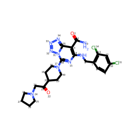 NC(=O)c1c(NCc2ccc(Cl)cc2Cl)nc(N2CCC(C(=O)CN3CCCC3)CC2)n2nnnc12